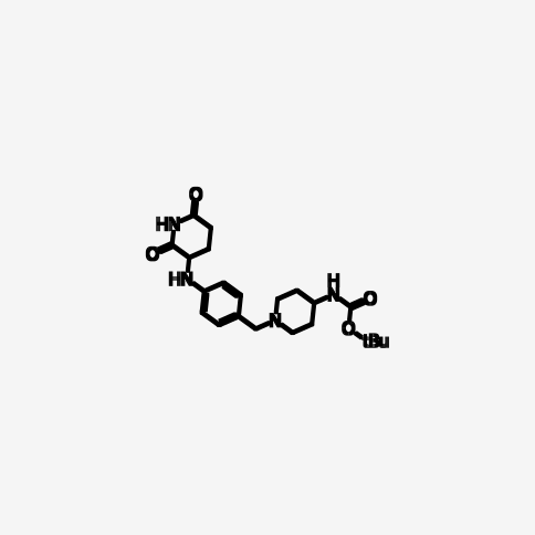 CC(C)(C)OC(=O)NC1CCN(Cc2ccc(NC3CCC(=O)NC3=O)cc2)CC1